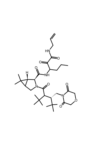 C=CCNC(=O)C(=O)C(CCC)NC(=O)[C@@H]1[C@@H]2C(CN1C(=O)C([C@H](CN1C(=O)COCC1=O)C(C)(C)C)C(C)(C)C)C2(C)C